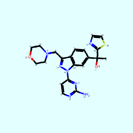 CC(O)(c1ccc2c(CN3CCOCC3)nn(-c3ccnc(N)n3)c2c1)c1nccs1